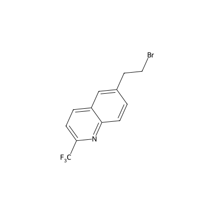 FC(F)(F)c1ccc2cc(CCBr)ccc2n1